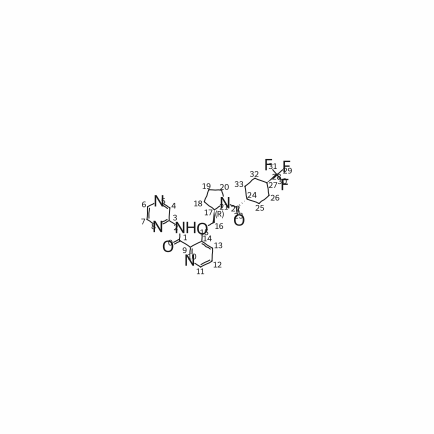 O=C(Nc1cnccn1)c1ncccc1OC[C@H]1CCCN1C(=O)[C@H]1CC[C@H](C(F)(F)F)CC1